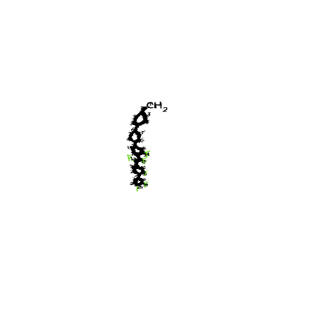 C=CC1CCC(C2CCC(c3ccc(/C(F)=C(\F)c4ccc(-c5ccc(F)c(F)c5)c(F)c4)c(F)c3)CC2)CC1